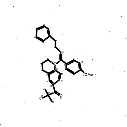 COc1ccc(/C(=N/CCc2ccccc2)N2CCCc3cc(C(=O)C(C)(C)Cl)ccc32)cc1